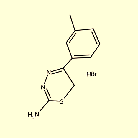 Br.Cc1cccc(C2=NN=C(N)SC2)c1